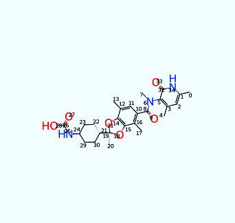 Cc1cc(C)c(N(C)C(=O)c2cc(C)c3c(c2C)O[C@@](C)([C@H]2CC[C@H](NC(=O)O)CC2)O3)c(=O)[nH]1